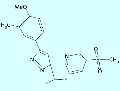 COc1ccc(C2=CC(c3ccc(S(C)(=O)=O)cn3)(C(F)F)N=N2)cc1C